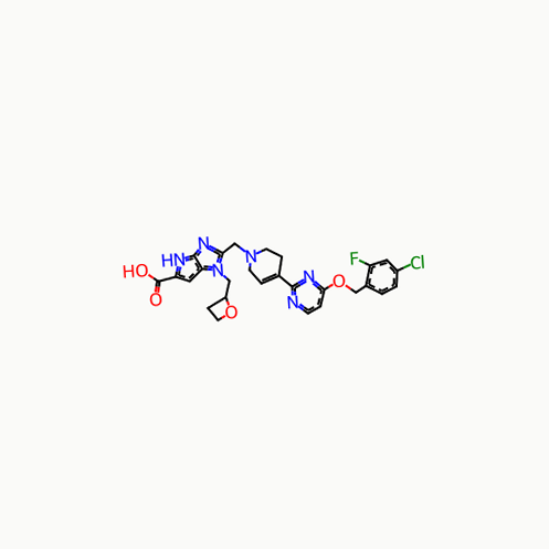 O=C(O)c1cc2c(nc(CN3CC=C(c4nccc(OCc5ccc(Cl)cc5F)n4)CC3)n2CC2CCO2)[nH]1